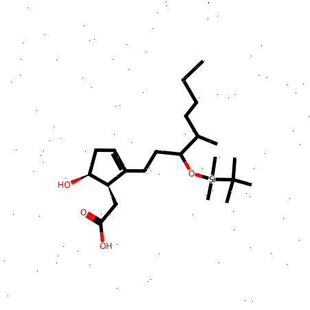 CCCCC(C)C(CCC1=CC[C@H](O)[C@@H]1CC(=O)O)O[Si](C)(C)C(C)(C)C